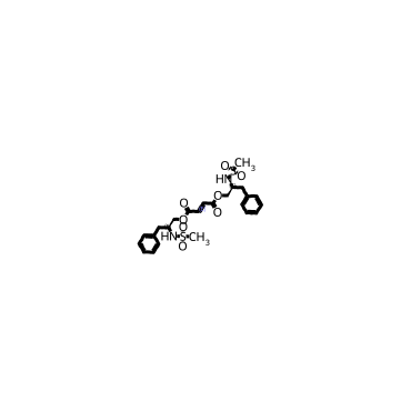 CS(=O)(=O)N[C@H](COC(=O)/C=C/C(=O)OC[C@H](Cc1ccccc1)NS(C)(=O)=O)Cc1ccccc1